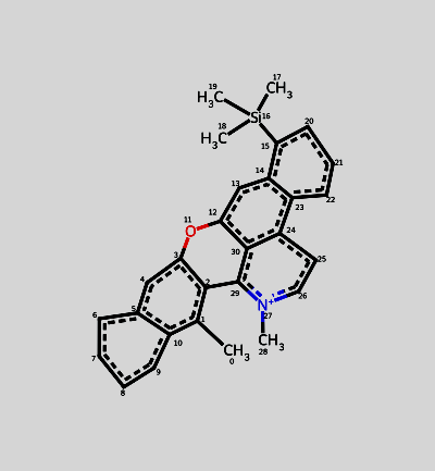 Cc1c2c(cc3ccccc13)Oc1cc3c([Si](C)(C)C)cccc3c3cc[n+](C)c-2c13